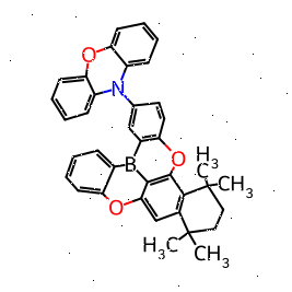 CC1(C)CCC(C)(C)c2c1cc1c3c2Oc2ccc(N4c5ccccc5Oc5ccccc54)cc2B3c2ccccc2O1